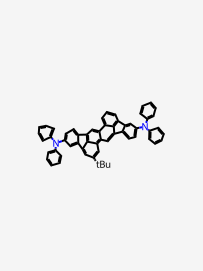 CC(C)(C)c1cc2c3cc(N(c4ccccc4)c4ccccc4)ccc3c3cc4c(cc5c6ccc(N(c7ccccc7)c7ccccc7)cc6c6cccc4c65)c(c1)c23